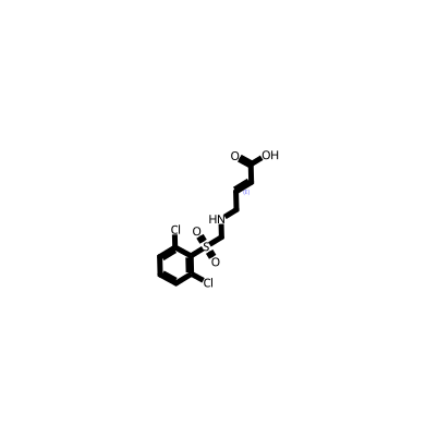 O=C(O)/C=C/CNCS(=O)(=O)c1c(Cl)cccc1Cl